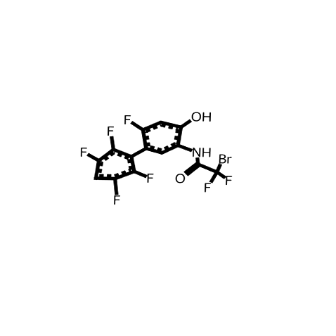 O=C(Nc1cc(-c2c(F)c(F)cc(F)c2F)c(F)cc1O)C(F)(F)Br